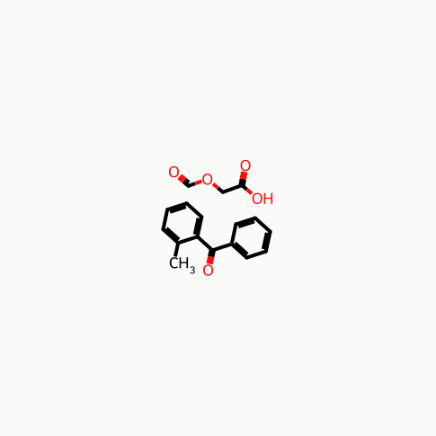 Cc1ccccc1C(=O)c1ccccc1.O=COCC(=O)O